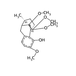 COc1ccc2c(c1O)[C@@]13CC[C@@H](C)C(C2)C1CC(OC)C(OC)(OC)C3